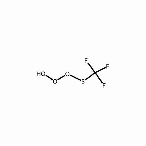 OOOSC(F)(F)F